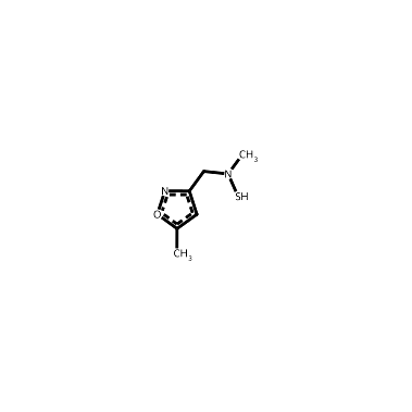 Cc1cc(CN(C)S)no1